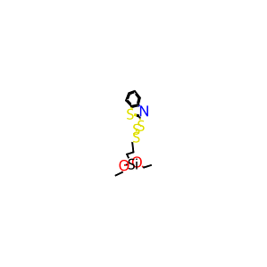 CCO[Si](C)(CCCSSSc1nc2ccccc2s1)OCC